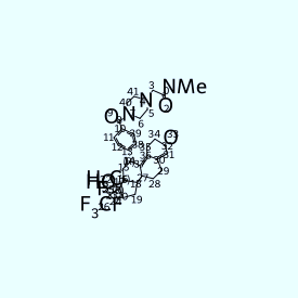 CNC(=O)CN1CCN(C(=O)c2ccc([C@H]3C[C@@]4(C)C(CC[C@]4(O)C(F)(F)C(F)(F)F)C4CCC5=CC(=O)CCC5=C43)cc2)CC1